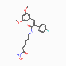 COc1cc(C=C(C(=O)NCCCCCC(=O)NO)c2ccc(F)cc2)cc(OC)c1